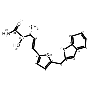 C[C@H](C=Cc1ccc(Cc2cc3ccccc3s2)s1)N(O)C(N)=O